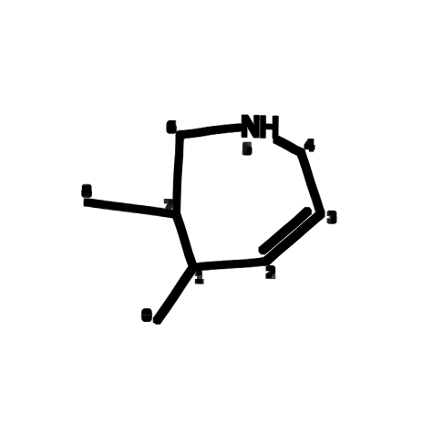 CC1C=CCNCC1C